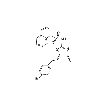 O=C1N=C(NS(=O)(=O)c2cccc3ccccc23)SC1=CCc1ccc(Br)cc1